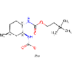 CC(C)(C)OC(=O)N[C@H]1C[C@@H](C#N)CC[C@@H]1NC(=O)OCC[Si](C)(C)C